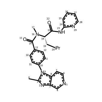 Cc1nc2cnccc2n1-c1ccc(C(=O)N(C)[C@@H](CC(C)C)C(=O)Nc2ccccn2)cc1